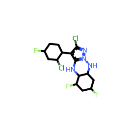 FC1CCC(c2c(Cl)nn3c2NC2C(F)CC(F)CC2N3)C(Cl)C1